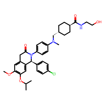 COc1cc2c(cc1OC(C)C)[C@H](c1ccc(Cl)cc1)N(c1ccc(N(C)C[C@H]3CC[C@H](C(=O)NCCO)CC3)cc1)C(=O)C2